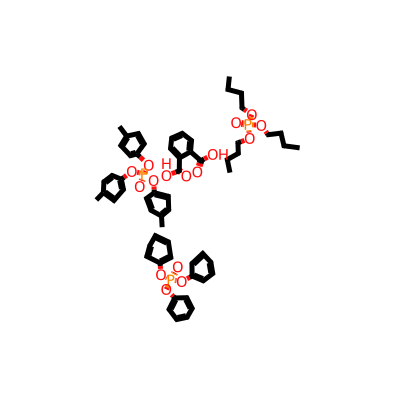 CCCCOP(=O)(OCCCC)OCCCC.Cc1ccc(OP(=O)(Oc2ccc(C)cc2)Oc2ccc(C)cc2)cc1.O=C(O)c1ccccc1C(=O)O.O=P(Oc1ccccc1)(Oc1ccccc1)Oc1ccccc1